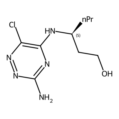 CCC[C@@H](CCO)Nc1nc(N)nnc1Cl